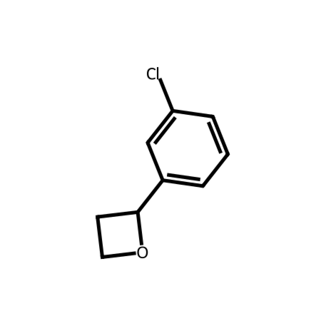 Clc1cccc(C2CCO2)c1